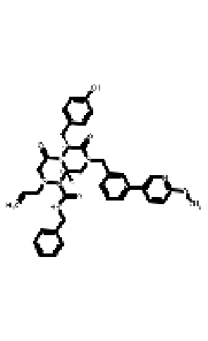 C=CCN1CC(=O)N2[C@@H](Cc3ccc(O)cc3)C(=O)N(Cc3cccc(-c4ccc(OC)nc4)c3)C[C@@H]2N1C(=O)NCc1ccccc1